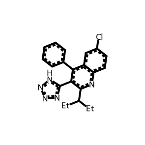 CCC(CC)c1nc2ccc(Cl)cc2c(-c2ccccc2)c1-c1nnn[nH]1